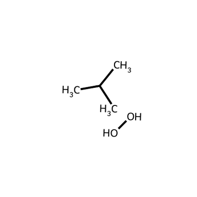 C[C](C)C.OO